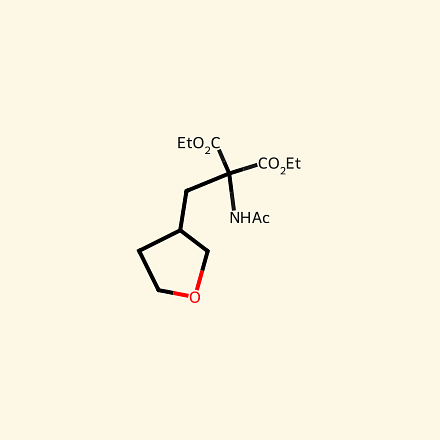 CCOC(=O)C(CC1CCOC1)(NC(C)=O)C(=O)OCC